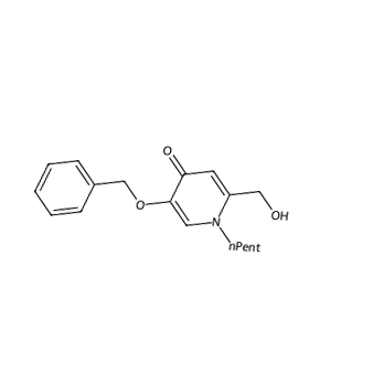 CCCCCn1cc(OCc2ccccc2)c(=O)cc1CO